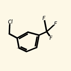 FC(F)(F)c1cc[c]c(CCl)c1